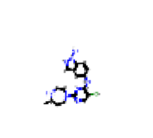 CC1CCN(c2ncc(Cl)c(Nc3ccc4c(cnn4N)c3)n2)CCN1